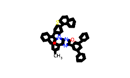 Cc1cccc(-c2nc3c(nc2-n2c4cc5c(cc4c4c6ccccc6ccc42)sc2ccc4ccccc4c25)oc2c(-c4ccccc4)cc(-c4ccccc4)cc23)c1